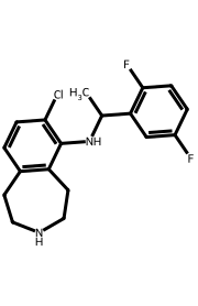 CC(Nc1c(Cl)ccc2c1CCNCC2)c1cc(F)ccc1F